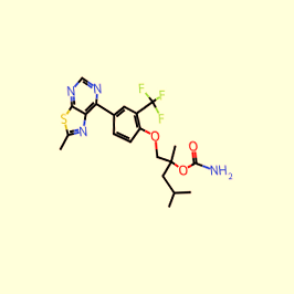 Cc1nc2c(-c3ccc(OCC(C)(CC(C)C)OC(N)=O)c(C(F)(F)F)c3)ncnc2s1